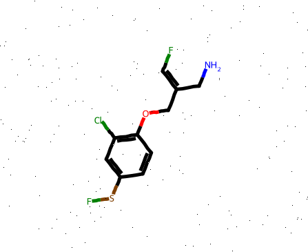 NCC(=CF)COc1ccc(SF)cc1Cl